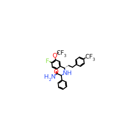 NC(=O)[C@@H](N[C@@H](CCc1ccc(C(F)(F)F)cc1)c1ccc(F)c(OC(F)(F)F)c1)c1ccccc1